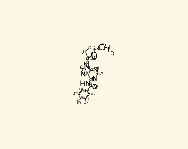 CC1CCC(N2C=NC3C(NC(=O)c4ccccc4)=NC=NC32)O1